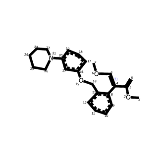 C=C(OC)/C(=C/OC)c1ccccc1COc1cccc(N2CCCCC2)c1